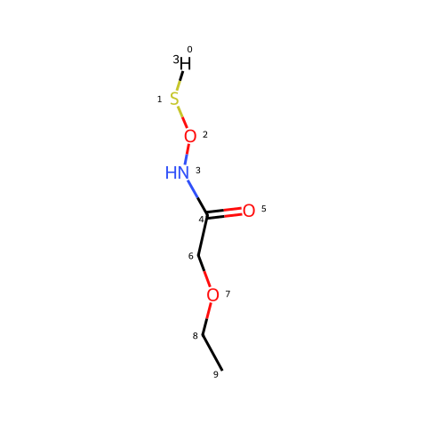 [3H]SONC(=O)COCC